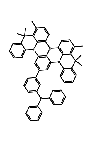 Cc1ccc2c3c1C(C)(C)c1ccccc1B3c1cc(-c3cccc(P(c4ccccc4)c4ccccc4)c3)cc3c1N2c1ccc(C)c2c1B3c1ccccc1C2(C)C